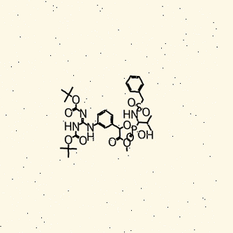 COC(=O)C(OP(=O)(O)[C@@H](NS(=O)(=O)Cc1ccccc1)C(C)C)c1cccc(NC(=NC(=O)OC(C)(C)C)NC(=O)OC(C)(C)C)c1